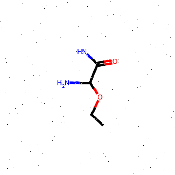 CCOC(N)C([NH])=O